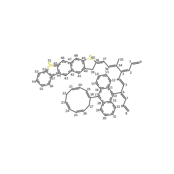 C=C/C=C(/C=C/C(=C/C=C)c1c2ccccc2c(/C2=C/C=C\C/C=C\C=C/C2)c2ccccc12)C(\C)=C\C=C1/Cc2cc3cc4c(cc3cc2S1)sc1ccccc14